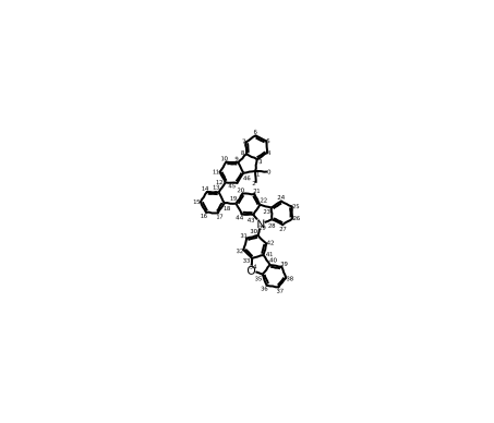 CC1(C)c2ccccc2-c2ccc(-c3ccccc3-c3ccc4c5ccccc5n(-c5ccc6oc7ccccc7c6c5)c4c3)cc21